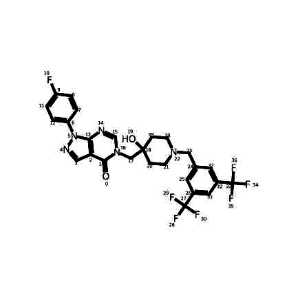 O=c1c2cnn(-c3ccc(F)cc3)c2ncn1CC1(O)CCN(Cc2cc(C(F)(F)F)cc(C(F)(F)F)c2)CC1